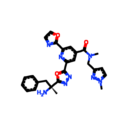 CN(Cc1ccn(C)n1)C(=O)c1cc(-c2ncco2)nc(-c2nnc([C@@](C)(N)Cc3ccccc3)o2)c1